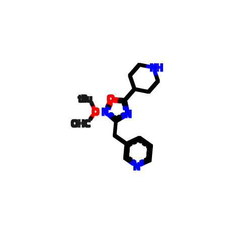 CC(C)(C)OC=O.c1cncc(Cc2noc(C3CCNCC3)n2)c1